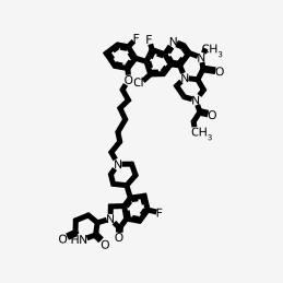 CCC(=O)N1CCN2c3c(cnc4c(F)c(-c5c(F)cccc5OCCCCCCCN5CCC(c6cc(F)cc7c6CN(C6CCC(=O)NC6=O)C7=O)CC5)c(Cl)cc34)N(C)C(=O)C2C1